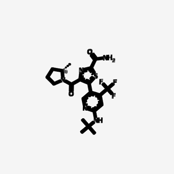 C[C@H]1CCCN1C(=O)c1nc(C(N)=O)sc1-c1cnc(NC(C)(C)C)cc1C(F)(F)F